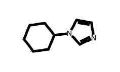 [CH]1CCCC(n2ccnc2)C1